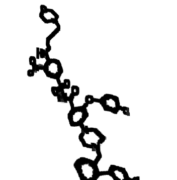 O=C(NS(=O)(=O)c1ccc(NCCCN2CCOCC2)c([N+](=O)[O-])c1)c1ccc(N2CCN(Cc3ccccc3-c3ccc(Cl)cc3)CC2)cc1Oc1ccc(Cl)cc1